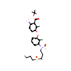 Cc1c(Oc2cccc(N(CCC(F)S(=O)(=O)CCCF)[SH](=O)=O)c2F)ccc([N+](=O)[O-])c1C(=O)OC(C)(C)C